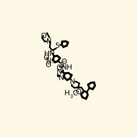 COC1(Cc2ccccc2-c2ccccc2)CCN(c2ccc3c(NS(=O)(=O)c4ccc(NC(CCN5CCOCC5)CSc5ccccc5)c([N+](=O)[O-])c4)ncnc3c2)CC1